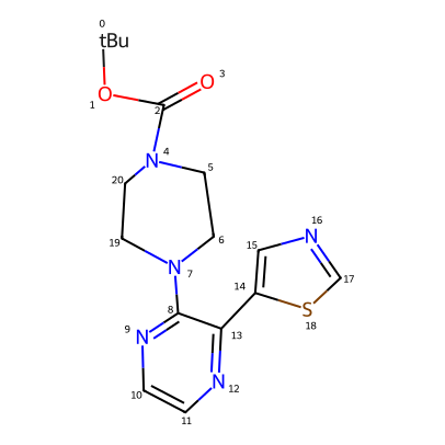 CC(C)(C)OC(=O)N1CCN(c2nccnc2-c2cncs2)CC1